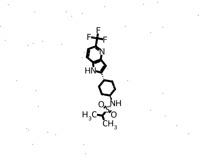 CC(C)S(=O)(=O)N[C@H]1CC[C@H](c2cc3nc(C(F)(F)F)ccc3[nH]2)CC1